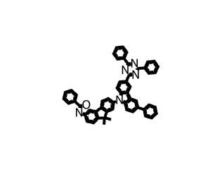 CC1(C)c2cc(-n3c4ccc(-c5ccccc5)cc4c4cc(-c5nc(-c6ccccc6)nc(-c6ccccc6)n5)ccc43)ccc2-c2c1ccc1nc(-c3ccccc3)oc21